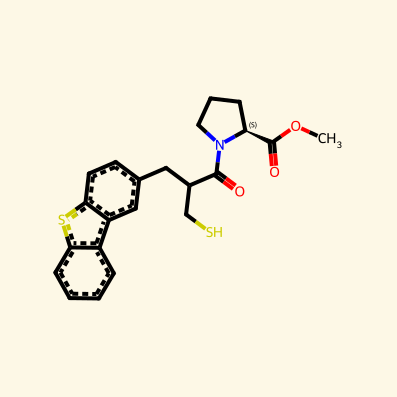 COC(=O)[C@@H]1CCCN1C(=O)C(CS)Cc1ccc2sc3ccccc3c2c1